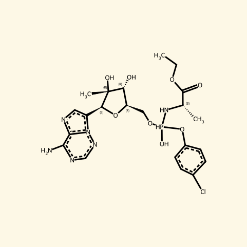 CCOC(=O)[C@H](C)N[PH](O)(OC[C@H]1O[C@@H](c2cnc3c(N)ncnn23)[C@](C)(O)[C@@H]1O)Oc1ccc(Cl)cc1